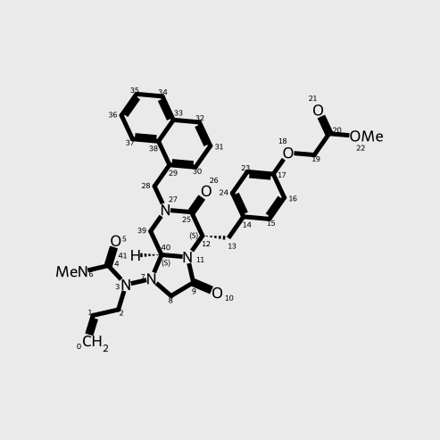 C=CCN(C(=O)NC)N1CC(=O)N2[C@@H](Cc3ccc(OCC(=O)OC)cc3)C(=O)N(Cc3cccc4ccccc34)C[C@@H]21